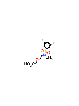 CN(CCOCC(=O)O)S(=O)(=O)c1cc(F)cc(F)c1